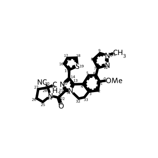 COc1cc2c(cc1-c1ccn(C)n1)-c1c(-c3cccs3)nc(C(=O)N3CCC[C@]3(C)C#N)n1CC2